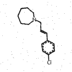 Clc1ccc(/C=C/CN2CCCCCC2)cc1